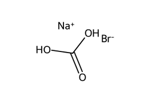 O=C(O)O.[Br-].[Na+]